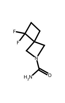 NC(=O)N1CC2(CCC2(F)F)C1